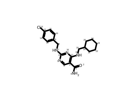 NC(=O)c1cnc(NCc2ccc(Cl)cc2)nc1NCC1CCCCC1